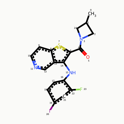 CC1CN(C(=O)c2sc3ccncc3c2Nc2ccc(I)cc2F)C1